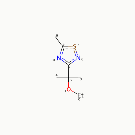 CCOC(C)(C)c1nsc(C)n1